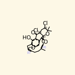 C/C1=C/C[C@@]23OC(C)(C)[C@H](Cl)C[C@]2(Cl)C(=O)c2c(cc4c(c2O)C/C(=C/CC1)CO4)C3=O